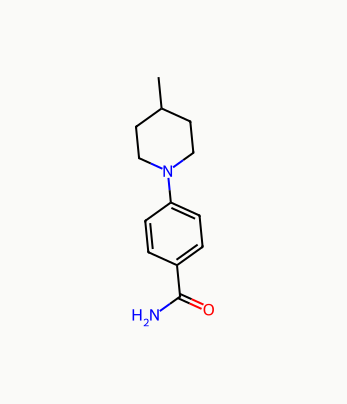 CC1CCN(c2ccc(C(N)=O)cc2)CC1